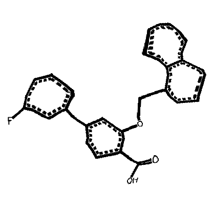 O=C(O)c1ccc(-c2cccc(F)c2)cc1OCc1cccc2ccccc12